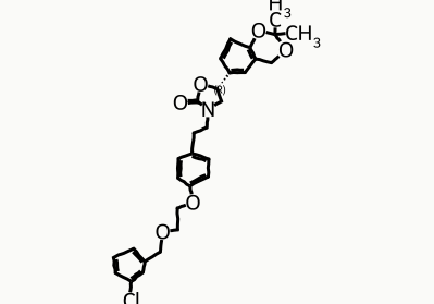 CC1(C)OCc2cc([C@@H]3CN(CCc4ccc(OCCOCc5cccc(Cl)c5)cc4)C(=O)O3)ccc2O1